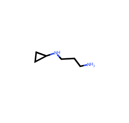 NCCCNC1CC1